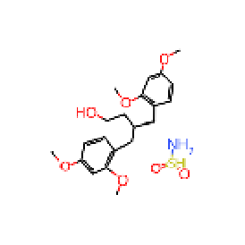 COc1ccc(CC(CCO)Cc2ccc(OC)cc2OC)c(OC)c1.N[SH](=O)=O